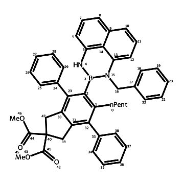 CCCCCc1c(B2Nc3cccc4cccc(c34)N2Cc2ccccc2)c(-c2ccccc2)c2c(c1-c1ccccc1)CC(C(=O)OC)(C(=O)OC)C2